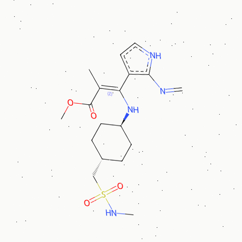 C=Nc1[nH]ccc1/C(N[C@H]1CC[C@H](CS(=O)(=O)NC)CC1)=C(\C)C(=O)OC